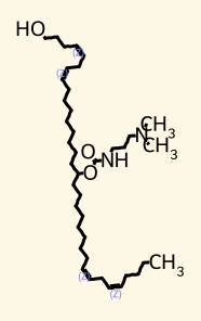 CCCC/C=C\C/C=C\CCCCCCCCC(CCCCCCCC/C=C\C/C=C\CCCO)OC(=O)NCCCN(C)C